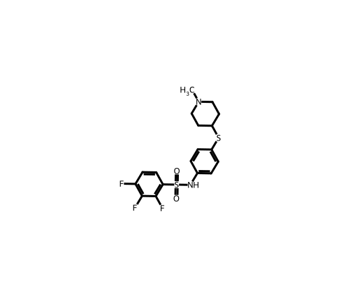 CN1CCC(Sc2ccc(NS(=O)(=O)c3ccc(F)c(F)c3F)cc2)CC1